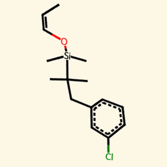 C/C=C\O[Si](C)(C)C(C)(C)Cc1cccc(Cl)c1